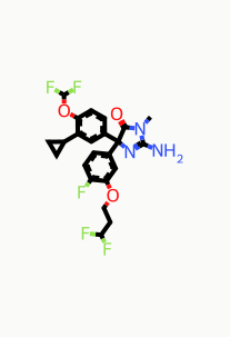 CN1C(=O)C(c2ccc(F)c(OCCC(F)F)c2)(c2ccc(OC(F)F)c(C3CC3)c2)N=C1N